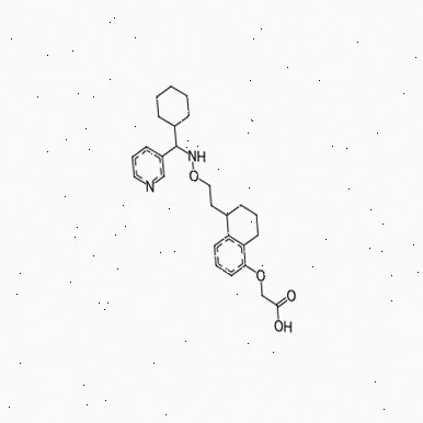 O=C(O)COc1cccc2c1CCCC2CCONC(c1cccnc1)C1CCCCC1